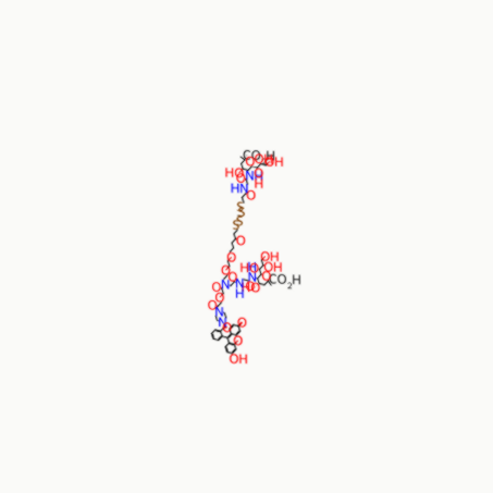 C[C@]1(C(=O)O)C[C@H](O)[C@@H](NC(=O)CNC(=O)CN(CCOCCOCCCC(=O)CCSSCSSCCC(=O)NCC(=O)N[C@@H]2[C@@H](O)C[C@](C)(C(=O)O)O[C@H]2C(O)[C@H](O)CO)C(=O)COCC(=O)N2CCN(C(=O)c3ccccc3-c3c4ccc(=O)cc-4oc4cc(O)ccc34)CC2)[C@H]([C@H](O)[C@H](O)CO)O1